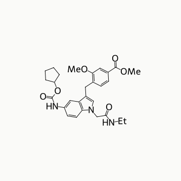 CCNC(=O)Cn1cc(Cc2ccc(C(=O)OC)cc2OC)c2cc(NC(=O)OC3CCCC3)ccc21